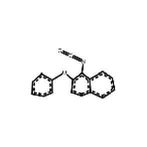 O=C=Nc1c(Oc2ccccc2)ccc2ccccc12